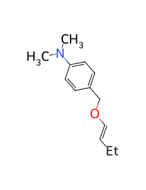 CCC=COCc1ccc(N(C)C)cc1